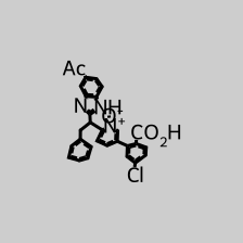 CC(=O)c1ccc2[nH]c(C(Cc3ccccc3)c3ccc(-c4cc(Cl)ccc4C(=O)O)c[n+]3[O-])nc2c1